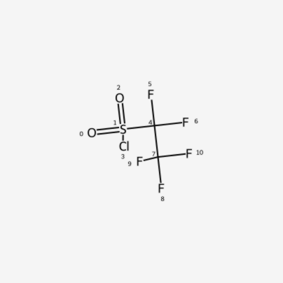 O=S(=O)(Cl)C(F)(F)C(F)(F)F